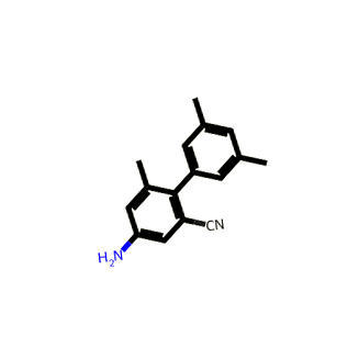 Cc1cc(C)cc(-c2c(C)cc(N)cc2C#N)c1